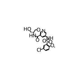 COc1ccc(Cl)cc1S(=O)(=O)Nc1cnc2c(c1)C(=O)N[C@@H](CO)CO2